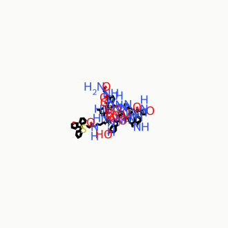 CNCCC[C@H](NC(=O)[C@H](CC(C)C)NC(=O)[C@@H](CCCCNC(=O)CCSC(c1ccccc1)(c1ccccc1)c1ccccc1)NC(=O)[C@H](Cc1ccc(O)cc1)NC(=O)[C@H](CO)NC(=O)[C@H](Cc1c[nH]c2ccccc12)NC(=O)[C@H](Cc1c[nH]cn1)NC(=O)[C@@H]1CCC(=O)N1)C(=O)N1CCC[C@H]1C(=O)NCC(N)=O